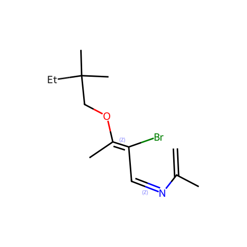 C=C(C)/N=C\C(Br)=C(/C)OCC(C)(C)CC